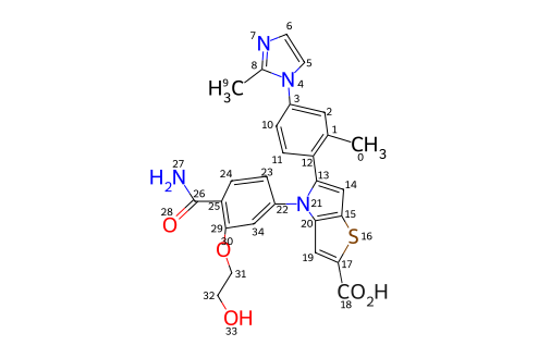 Cc1cc(-n2ccnc2C)ccc1-c1cc2sc(C(=O)O)cc2n1-c1ccc(C(N)=O)c(OCCO)c1